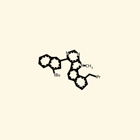 CC(C)Cc1cccc2ccc3c4c(-c5cc(C(C)(C)C)c6ccccc6c5)ncnc4n(C)c3c12